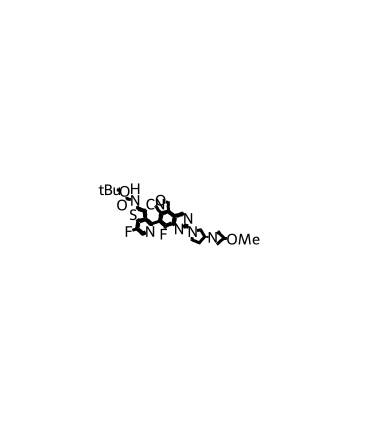 COC1CN([C@H]2CCN(c3ncc4c5c(c(-c6ncc(F)c7sc(NC(=O)OC(C)(C)C)c(C#N)c67)c(F)c4n3)COC5)C2)C1